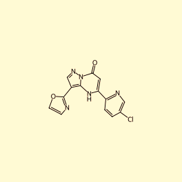 O=c1cc(-c2ccc(Cl)cn2)[nH]c2c(-c3ncco3)cnn12